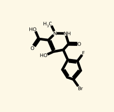 CN1NC(=O)C(c2ccc(Br)cc2F)C(O)=C1C(=O)O